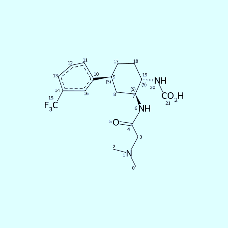 CN(C)CC(=O)N[C@H]1C[C@@H](c2cccc(C(F)(F)F)c2)CC[C@@H]1NC(=O)O